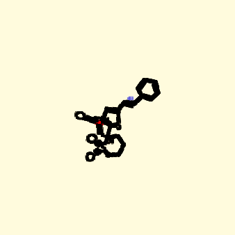 O=C(O)C[C@]1(c2ccc(/C=C/c3ccccc3)s2)CCCCS1(=O)=O